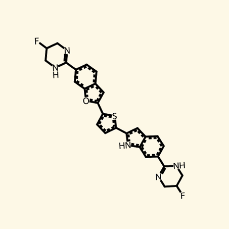 FC1CN=C(c2ccc3cc(-c4ccc(-c5cc6ccc(C7=NCC(F)CN7)cc6o5)s4)[nH]c3c2)NC1